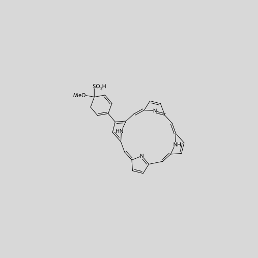 COC1(S(=O)(=O)O)C=CC(c2cc3cc4nc(cc5ccc(cc6nc(cc2[nH]3)C=C6)[nH]5)C=C4)=CC1